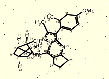 COC1=CC=C(c2c(C)nn3c(N[C@H]4C[C@H]5C[C@@H]([C@@H]4C)C5(C)C)c4c(nc23)CCC4)C(C)C1